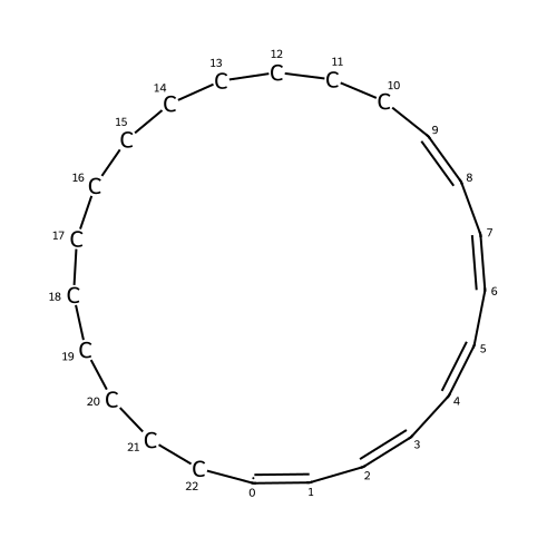 [C]1=C/C=C\C=C/C=C\C=C/CCCCCCCCCCCCC\1